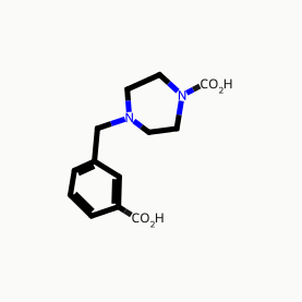 O=C(O)c1cccc(CN2CCN(C(=O)O)CC2)c1